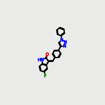 O=C1Nc2ccc(F)cc2C1=Cc1ccc(-c2cn(-c3ccccc3)nn2)cc1